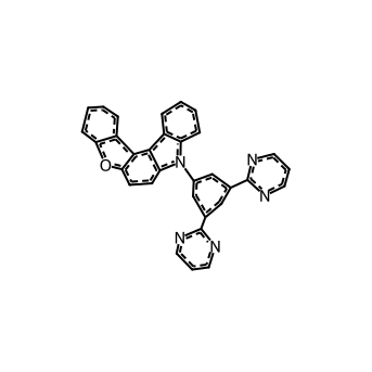 c1cnc(-c2cc(-c3ncccn3)cc(-n3c4ccccc4c4c5c(ccc43)oc3ccccc35)c2)nc1